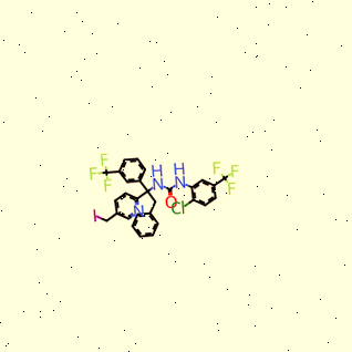 O=C(Nc1cc(C(F)(F)F)ccc1Cl)NC(Cc1ccccc1)(c1cccc(C(F)(F)F)c1)c1ccc(CI)cn1